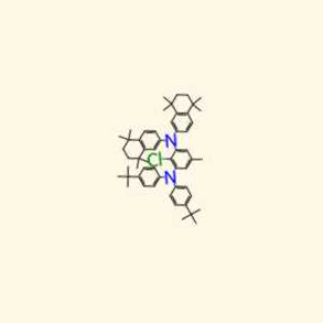 Cc1cc(N(c2ccc(C(C)(C)C)cc2)c2ccc(C(C)(C)C)cc2)c(Cl)c(N(c2ccc3c(c2)C(C)(C)CCC3(C)C)c2ccc3c(c2)C(C)(C)CCC3(C)C)c1